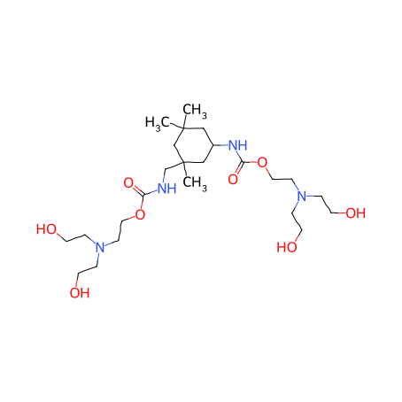 CC1(C)CC(NC(=O)OCCN(CCO)CCO)CC(C)(CNC(=O)OCCN(CCO)CCO)C1